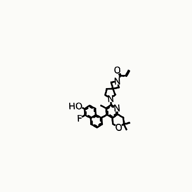 C=CC(=O)N1CC2(CCN(c3nc4c(c(-c5cccc6c(F)c(O)ccc56)c3C)COC(C)(C)C4)C2)C1